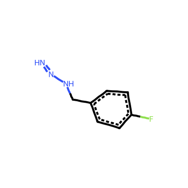 N=NNCc1ccc(F)cc1